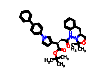 CC(C)(C)OC(=O)[C@@H](CC(=O)NN1[C@@H](Cc2ccccc2)COC1(C)C)c1ccn(-c2ccc(-c3ccccc3)cc2)c1